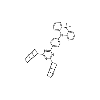 CC1(C)c2ccccc2N(c2ccc(-c3nc(C45C6C7C8C6C4C8C75)nc(C45C6C7C8C6C4C8C75)n3)cc2)c2ccccc21